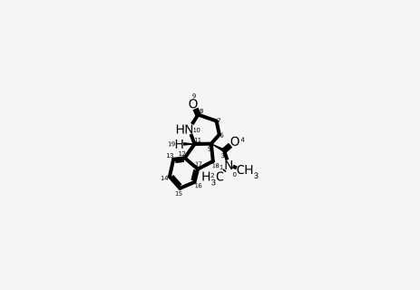 CN(C)C(=O)[C@]12CCC(=O)N[C@H]1c1ccccc1C2